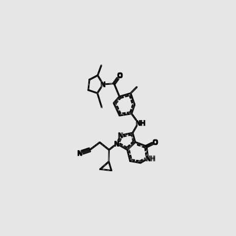 Cc1cc(Nc2nn(C(CC#N)C3CC3)c3cc[nH]c(=O)c23)ccc1C(=O)N1C(C)CCC1C